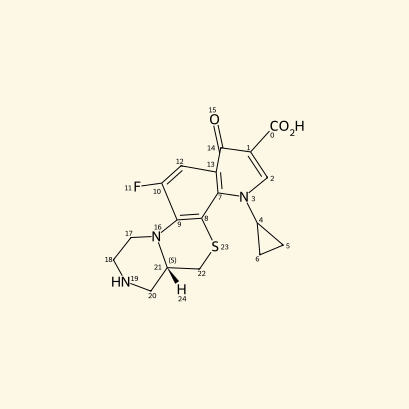 O=C(O)c1cn(C2CC2)c2c3c(c(F)cc2c1=O)N1CCNC[C@H]1CS3